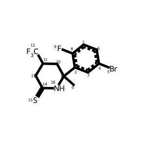 CC1(c2cc(Br)ccc2F)CC(C(F)(F)F)CC(=S)N1